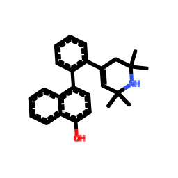 CC1(C)C=C(c2ccccc2-c2ccc(O)c3ccccc23)CC(C)(C)N1